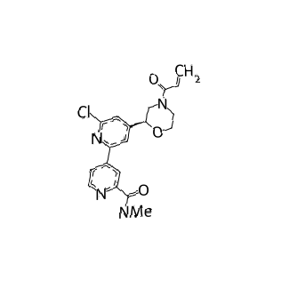 C=CC(=O)N1CCO[C@@H](c2cc(Cl)nc(-c3ccnc(C(=O)NC)c3)c2)C1